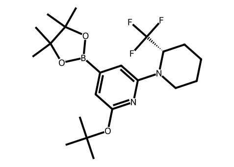 CC(C)(C)Oc1cc(B2OC(C)(C)C(C)(C)O2)cc(N2CCCC[C@H]2C(F)(F)F)n1